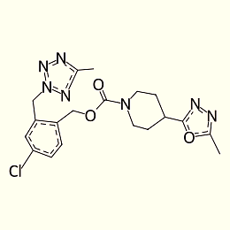 Cc1nnn(Cc2cc(Cl)ccc2COC(=O)N2CCC(c3nnc(C)o3)CC2)n1